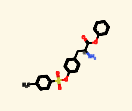 Cc1ccc(S(=O)(=O)Oc2ccc(C[C@H](N)C(=O)Oc3ccccc3)cc2)cc1